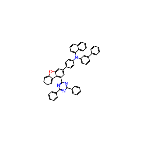 C1=c2oc3cc(-c4ccc(N(c5cccc(-c6ccccc6)c5)c5cccc6ccccc56)cc4)cc(-c4nc(-c5ccccc5)nc(-c5ccccc5)n4)c3c2=CCC1